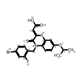 CC(C)Oc1ccc2c(c1)SC(=CC(=O)O)C(=S)N2Cc1ccc(Br)cc1F